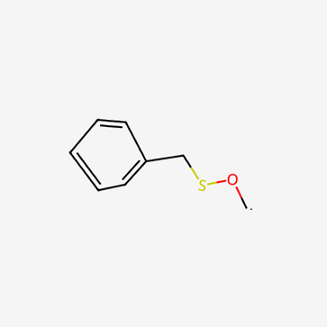 [CH2]OSCc1ccccc1